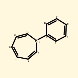 C1=CC=CB(c2ccccc2)C=C1